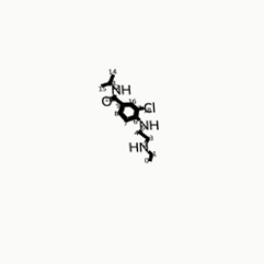 CCNCCNc1ccc(C(=O)NC(C)C)cc1Cl